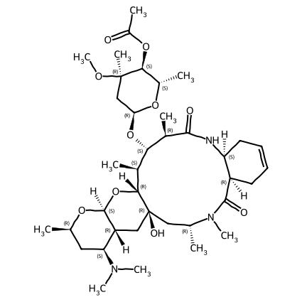 CO[C@]1(C)C[C@H](O[C@H]2[C@H](C)[C@H]3O[C@@H]4O[C@H](C)C[C@H](N(C)C)[C@H]4C[C@@]3(O)C[C@@H](C)N(C)C(=O)[C@@H]3CC=CC[C@@H]3NC(=O)[C@@H]2C)O[C@@H](C)[C@@H]1OC(C)=O